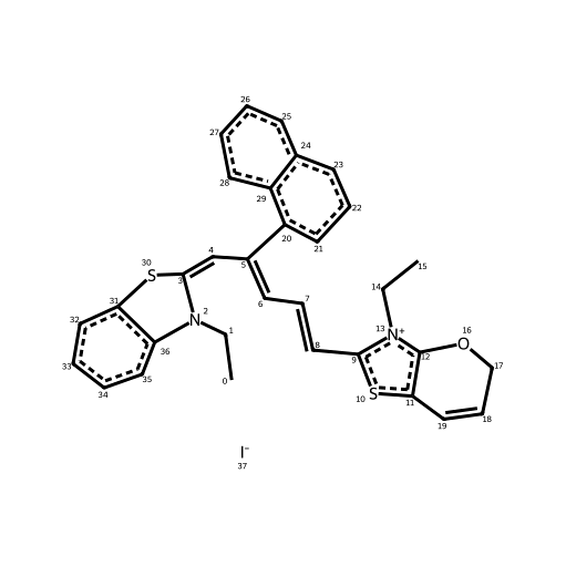 CCN1C(=CC(=CC=Cc2sc3c([n+]2CC)OCC=C3)c2cccc3ccccc23)Sc2ccccc21.[I-]